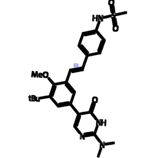 COc1c(/C=C/c2ccc(NS(C)(=O)=O)cc2)cc(-c2cnc(N(C)C)[nH]c2=O)cc1C(C)(C)C